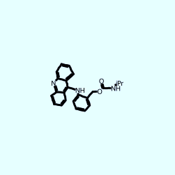 CC(C)NC(=O)OCc1ccccc1Nc1c2ccccc2nc2ccccc12